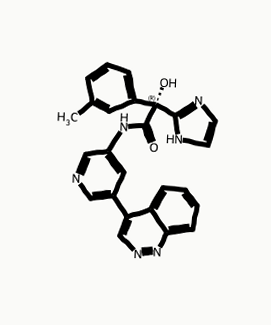 Cc1cccc([C@](O)(C(=O)Nc2cncc(-c3cnnc4ccccc34)c2)c2ncc[nH]2)c1